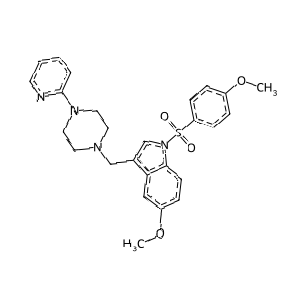 COc1ccc(S(=O)(=O)n2cc(CN3CCN(c4ccccn4)CC3)c3cc(OC)ccc32)cc1